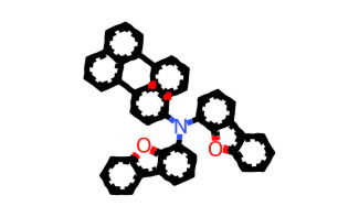 c1ccc(-c2cccc3cccc(-c4ccc(N(c5cccc6c5oc5ccccc56)c5cccc6c5oc5ccccc56)cc4)c23)cc1